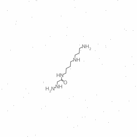 NCCCNCCCCNC(=O)CNN